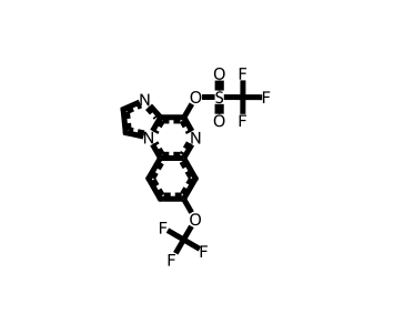 O=S(=O)(Oc1nc2cc(OC(F)(F)F)ccc2n2ccnc12)C(F)(F)F